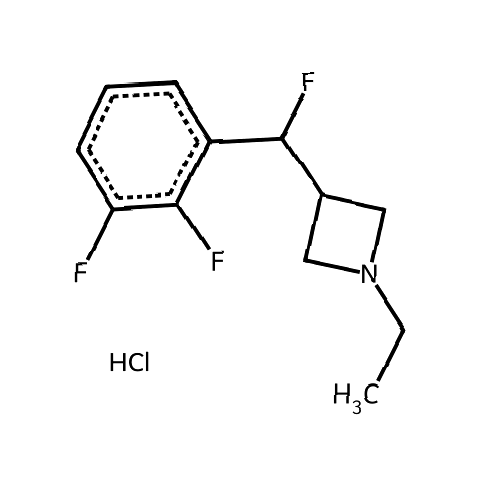 CCN1CC(C(F)c2cccc(F)c2F)C1.Cl